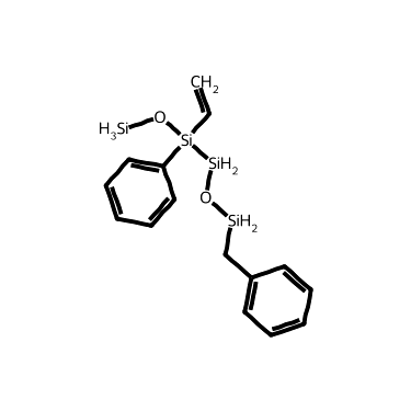 C=C[Si](O[SiH3])([SiH2]O[SiH2]Cc1ccccc1)c1ccccc1